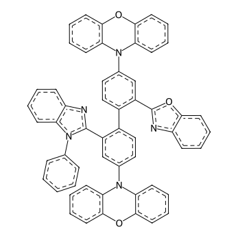 c1ccc(-n2c(-c3cc(N4c5ccccc5Oc5ccccc54)ccc3-c3ccc(N4c5ccccc5Oc5ccccc54)cc3-c3nc4ccccc4o3)nc3ccccc32)cc1